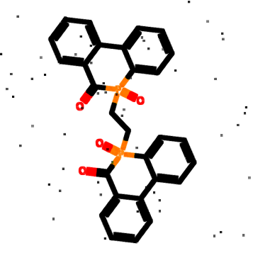 O=C1c2ccccc2-c2ccccc2P1(=O)CCP1(=O)C(=O)c2ccccc2-c2ccccc21